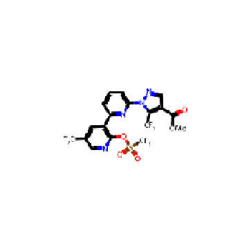 COC(=O)c1cnn(-c2cccc(-c3cc(C(F)(F)F)cnc3OS(=O)(=O)C(F)(F)F)n2)c1C(F)(F)F